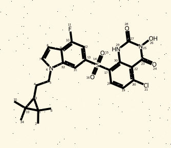 CC1(C)C(CCn2ccc3c(F)cc(S(=O)(=O)c4ccc(Cl)c5c(=O)n(O)c(=O)[nH]c45)cc32)C1(C)C